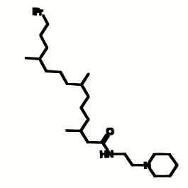 CC(C)CCCC(C)CCCC(C)CCCC(C)CC(=O)NCCN1CCCCC1